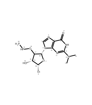 CC[C@H]1O[C@@H](n2cnc3c(=O)[nH]c(N(C)C)nc32)C(OPP)[C@H]1O